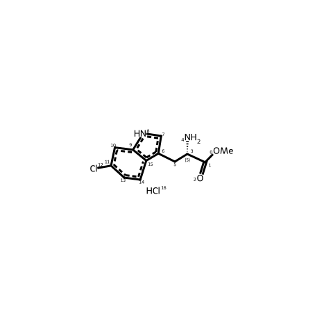 COC(=O)[C@@H](N)Cc1c[nH]c2cc(Cl)ccc12.Cl